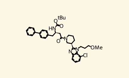 COCCCn1c([C@@H]2CCCN(C(=O)C[C@@H](Cc3ccc(-c4ccccc4)cc3)NC(=O)OC(C)(C)C)C2)nc2cccc(Cl)c21